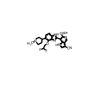 COc1ncc2c(C#N)c[nH]c2c1-c1nc2c(OCC(F)F)c(C3CCN(C)CC3)ccc2[nH]1